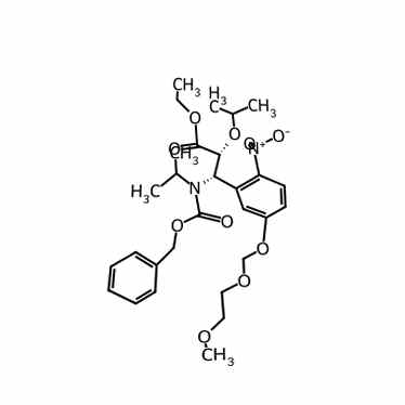 CCOC(=O)[C@H](OC(C)C)[C@H](c1cc(OCOCCOC)ccc1[N+](=O)[O-])N(C(=O)OCc1ccccc1)C(C)C